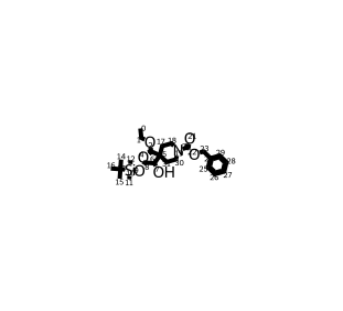 CCOC(=O)C1(C(O)CO[Si](C)(C)C(C)(C)C)CCN(C(=O)OCc2ccccc2)CC1